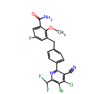 COc1c(Cc2ccc(-c3nc(C(F)F)c(Br)c(Cl)c3C#N)cc2)cc(F)cc1C(N)=O